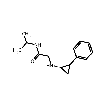 CC(C)NC(=O)CN[C@H]1CC1c1ccccc1